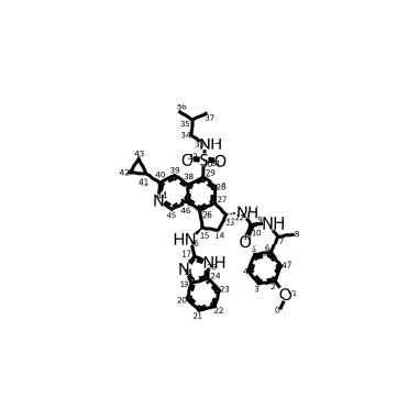 COc1cccc(C(C)NC(=O)N[C@@H]2C[C@@H](Nc3nc4ccccc4[nH]3)c3c2cc(S(=O)(=O)NCC(C)C)c2cc(C4CC4)ncc32)c1